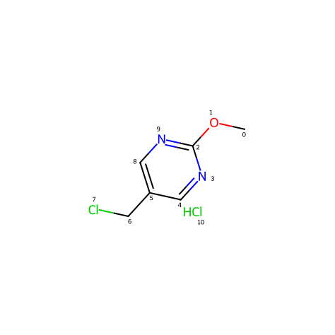 COc1ncc(CCl)cn1.Cl